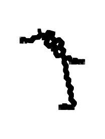 CCCCCCCCCCCCCCCCCCCCCC[C](CCCCCCCCCCC)C1CC[C@@]2(C)C(=CCC3C2CC[C@@]2(C)C3CC[C@@H]2[C@H](C)CCCC(C)C)C1